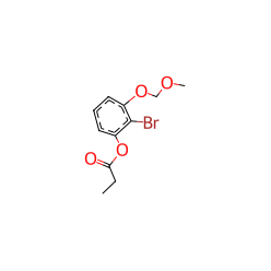 CCC(=O)Oc1cccc(OCOC)c1Br